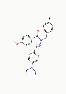 CCN(CC)c1ccc(/C=N/N(Cc2ccc(C)cc2)C(=O)c2ccc(OC)cc2)cc1